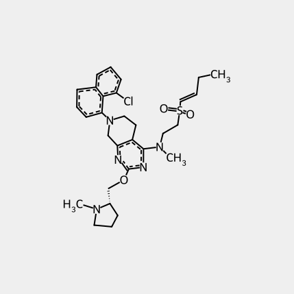 CC/C=C/S(=O)(=O)CCN(C)c1nc(OC[C@@H]2CCCN2C)nc2c1CCN(c1cccc3cccc(Cl)c13)C2